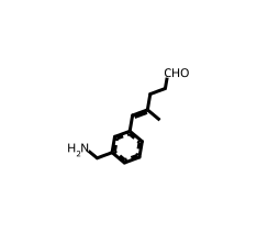 C/C(=C\c1cccc(CN)c1)CCC=O